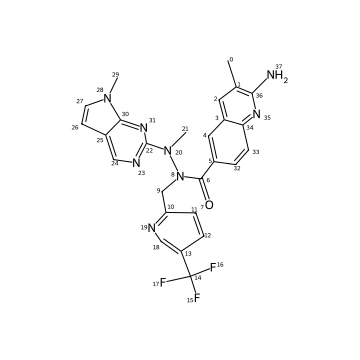 Cc1cc2cc(C(=O)N(Cc3ccc(C(F)(F)F)cn3)N(C)c3ncc4ccn(C)c4n3)ccc2nc1N